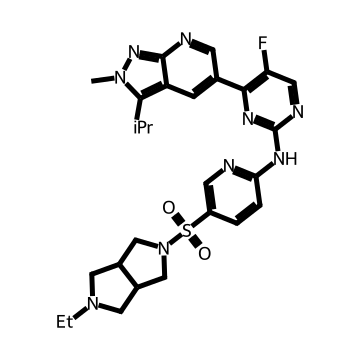 CCN1CC2CN(S(=O)(=O)c3ccc(Nc4ncc(F)c(-c5cnc6nn(C)c(C(C)C)c6c5)n4)nc3)CC2C1